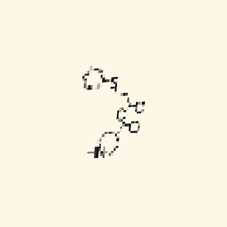 O=C(CCSc1ccccc1)OC(=O)C1CCNCC1